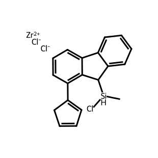 C[SiH](Cl)C1c2ccccc2-c2cccc(C3=CC=CC3)c21.[Cl-].[Cl-].[Zr+2]